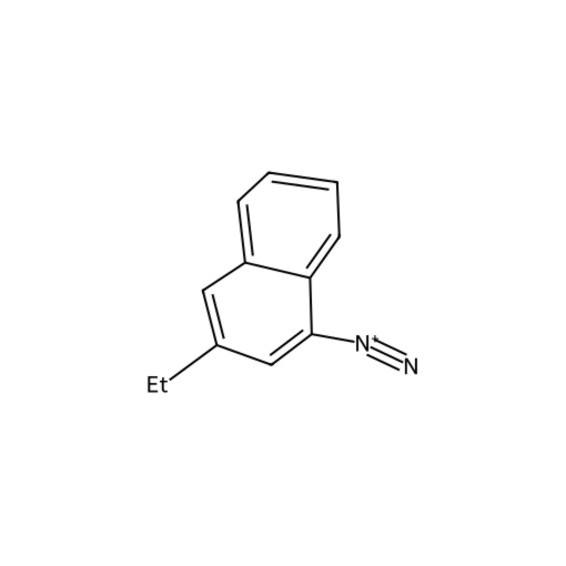 CCc1cc([N+]#N)c2ccccc2c1